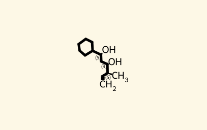 C=C[C@H](C)[C@H](O)C[C@H](O)C1CCCCC1